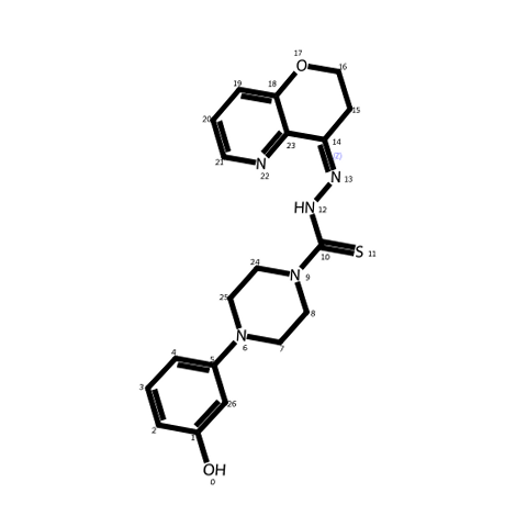 Oc1cccc(N2CCN(C(=S)N/N=C3/CCOc4cccnc43)CC2)c1